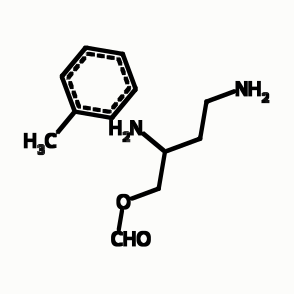 Cc1ccccc1.NCCC(N)COC=O